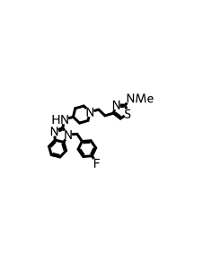 CNc1nc(CCN2CCC(Nc3nc4ccccc4n3Cc3ccc(F)cc3)CC2)cs1